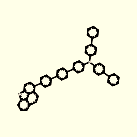 c1ccc(-c2ccc(N(c3ccc(-c4ccccc4)cc3)c3ccc(-c4ccc(-c5ccc(-c6ccc7oc8cccc9ccc6c7c98)cc5)cc4)cc3)cc2)cc1